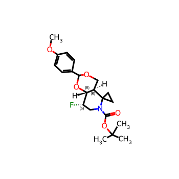 COc1ccc(C2OC[C@@H]3[C@@H](O2)[C@@H](F)CN(C(=O)OC(C)(C)C)C32CC2)cc1